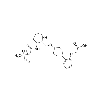 CC(C)(C)OC(=O)NC1CCCN[C@@H]1COC1CCC(c2ccccc2OCC(=O)O)CC1